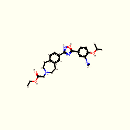 [C-]#[N+]c1cc(-c2nc(-c3ccc4c(c3)CCN(CC(=O)OCC)CC4)no2)ccc1OC(C)C